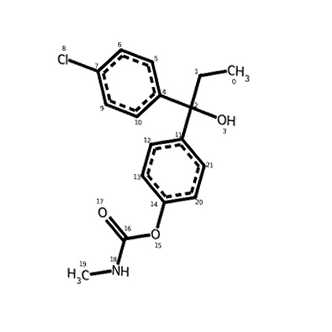 CCC(O)(c1ccc(Cl)cc1)c1ccc(OC(=O)NC)cc1